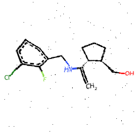 C=C(NCc1cccc(Cl)c1F)[C@@H]1CCC[C@H]1CO